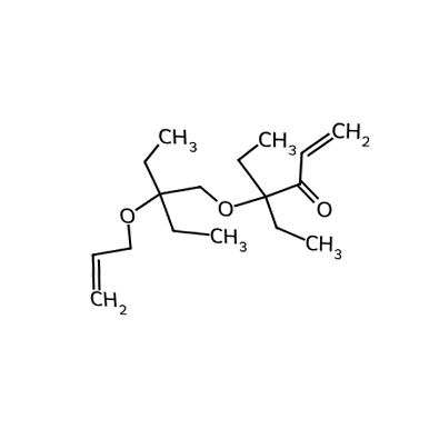 C=CCOC(CC)(CC)COC(CC)(CC)C(=O)C=C